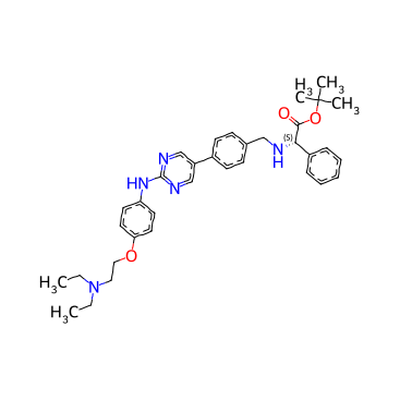 CCN(CC)CCOc1ccc(Nc2ncc(-c3ccc(CN[C@H](C(=O)OC(C)(C)C)c4ccccc4)cc3)cn2)cc1